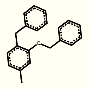 Cc1ccc(Cc2ccccc2)c(OCc2ccccc2)c1